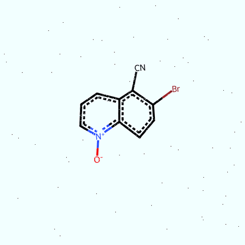 N#Cc1c(Br)ccc2c1ccc[n+]2[O-]